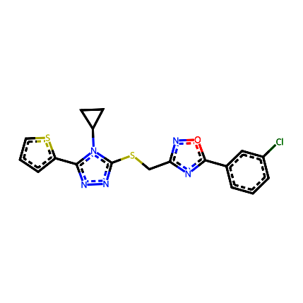 Clc1cccc(-c2nc(CSc3nnc(-c4cccs4)n3C3CC3)no2)c1